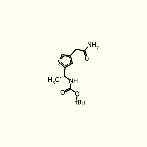 C[C@@H](NC(=O)OC(C)(C)C)c1cc(CC(N)=O)cs1